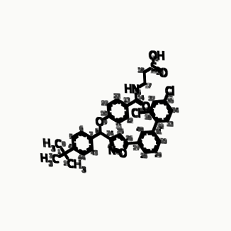 CC(C)(C)c1ccc(C(Oc2ccc(C(=O)NCCS(=O)O)cc2)c2cc(-c3cccc(-c4ccc(Cl)cc4Cl)c3)on2)cc1